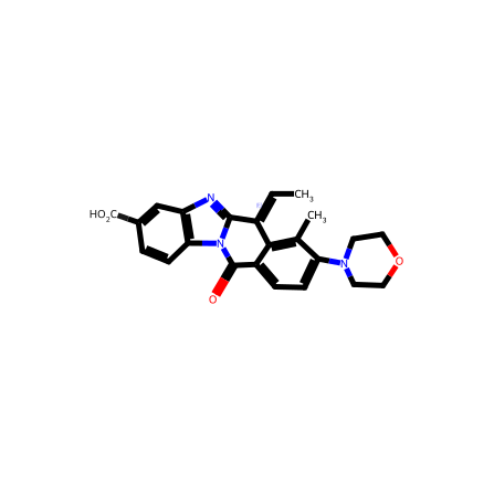 C/C=c1\c2c(C)c(N3CCOCC3)ccc2c(=O)n2c1nc1cc(C(=O)O)ccc12